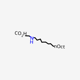 CCCCCCCCCCCCCCCCNCCC(=O)O